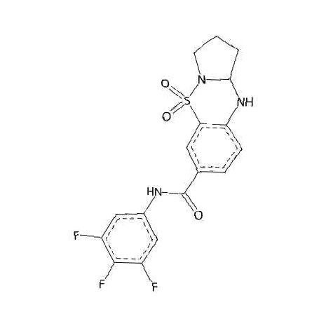 O=C(Nc1cc(F)c(F)c(F)c1)c1ccc2c(c1)S(=O)(=O)N1CCCC1N2